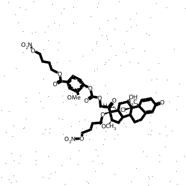 COc1cc(C(=O)OCCCCO[N+](=O)[O-])ccc1OC(=O)OCC(=O)[C@@]1(OC(=O)CCCO[N+](=O)[O-])[C@@H](C)CC2C3CCC4=CC(=O)C=C[C@]4(C)[C@@]3(Cl)[C@@H](O)C[C@@]21C